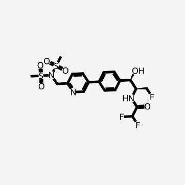 CS(=O)(=O)N(Cc1ccc(-c2ccc([C@@H](O)[C@@H](CF)NC(=O)C(F)F)cc2)cn1)S(C)(=O)=O